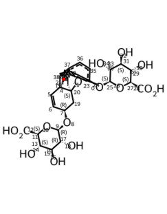 CN1CC[C@@]23C=C[C@H](O[C@@H]4O[C@H](C(=O)O)[C@@H](O)[C@H](O)[C@H]4O)C[C@@H]2Oc2c(O[C@@H]4O[C@H](C(=O)O)[C@@H](O)[C@H](O)[C@H]4O)ccc(c23)C1